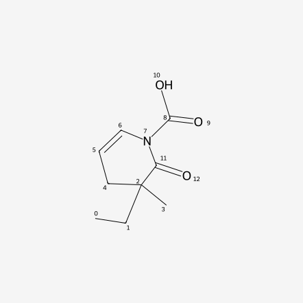 CCC1(C)CC=CN(C(=O)O)C1=O